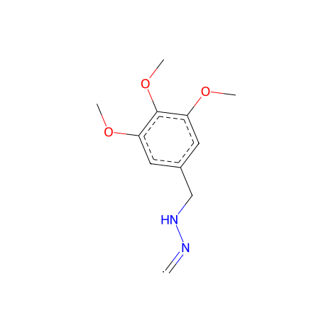 [CH]=NNCc1cc(OC)c(OC)c(OC)c1